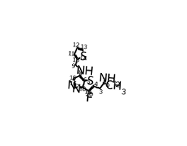 C[C@H](N)Cc1sc2c(NCc3cccs3)cnnc2c1F